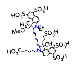 CC[N+]1=C(/C=C/C=C/C=C2/N(CCCCCC(=O)O)c3ccc4c(S(=O)(=O)O)cc(S(=O)(=O)O)cc4c3C2(C)CCCS(=O)(=O)O)C(C)(CCOC)c2c1ccc1c(S(=O)(=O)O)cc(S(=O)(=O)O)cc21